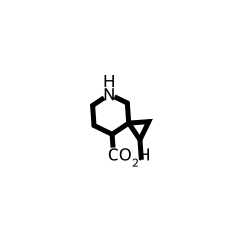 CC1CC12CNCCC2C(=O)O